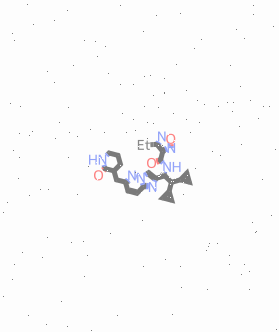 CCc1nonc1C(=O)N[C@H](c1cn2nc(CC3CCCNC3=O)ccc2n1)C(C1CC1)C1CC1